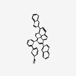 N#Cc1cccc(-c2ccccc2-c2cc(-c3ccc4ccccc4c3)c3ccc4ccc(-c5ccc6ccccc6c5)c5ccc2c3c45)c1